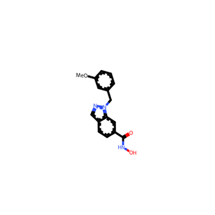 COc1cccc(Cn2ncc3ccc(C(=O)NO)cc32)c1